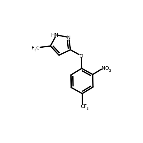 O=[N+]([O-])c1cc(C(F)(F)F)ccc1Oc1cc(C(F)(F)F)[nH]n1